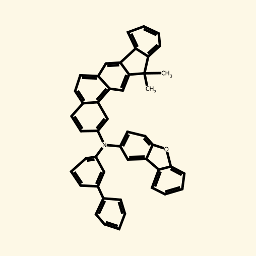 CC1(C)c2ccccc2-c2cc3ccc4ccc(N(c5cccc(-c6ccccc6)c5)c5ccc6oc7ccccc7c6c5)cc4c3cc21